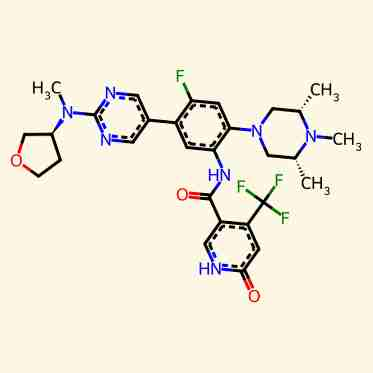 C[C@@H]1CN(c2cc(F)c(-c3cnc(N(C)[C@H]4CCOC4)nc3)cc2NC(=O)c2c[nH]c(=O)cc2C(F)(F)F)C[C@H](C)N1C